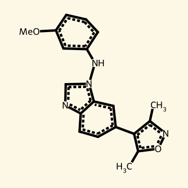 COc1cccc(Nn2cnc3ccc(-c4c(C)noc4C)cc32)c1